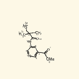 COC(=O)c1cncc(NC(=O)C(C)(C)S)c1